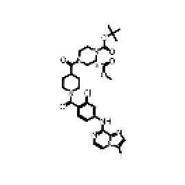 COC(=O)[C@@H]1CN(C(=O)C2CCN(C(=O)c3ccc(Nc4nccn5c(I)cnc45)cc3Cl)CC2)CCN1C(=O)OC(C)(C)C